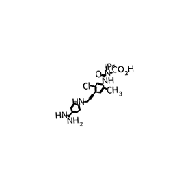 Cc1cc(C#CCNc2ccc(C(=N)N)cc2)c(Cl)cc1NC(=O)N(CC(=O)O)C(C)C